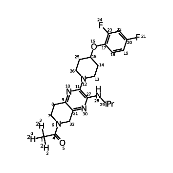 [2H]C([2H])([2H])C(=O)N1CCc2nc(N3CCC(Oc4ccc(F)cc4F)CC3)c(NC(C)C)nc2C1